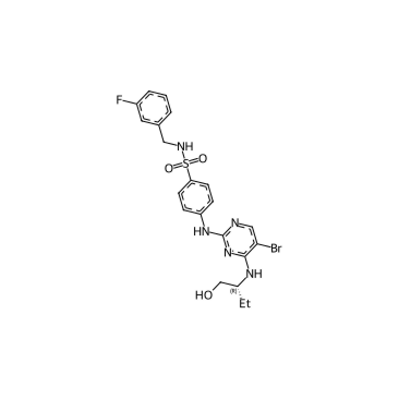 CC[C@H](CO)Nc1nc(Nc2ccc(S(=O)(=O)NCc3cccc(F)c3)cc2)ncc1Br